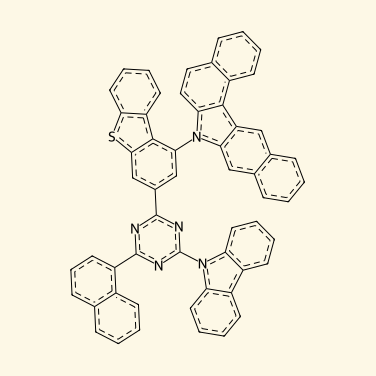 c1ccc2cc3c(cc2c1)c1c2ccccc2ccc1n3-c1cc(-c2nc(-c3cccc4ccccc34)nc(-n3c4ccccc4c4ccccc43)n2)cc2sc3ccccc3c12